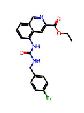 CCOC(=O)c1cc2c(NC(=O)NCc3ccc(Br)cc3)cccc2cn1